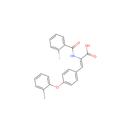 O=C(O)/C(=C/c1ccc(Oc2ccccc2I)cc1)NC(=O)c1ccccc1F